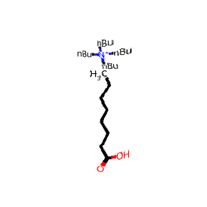 CCCCCCCC(=O)O.CCCC[N+](CCCC)(CCCC)CCCC